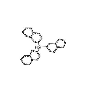 c1ccc2cc([SiH](c3ccc4ccccc4c3)c3ccc4ccccc4c3)ccc2c1